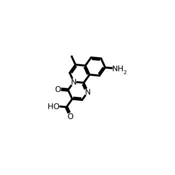 Cc1cn2c(=O)c(C(=O)O)cnc2c2cc(N)ccc12